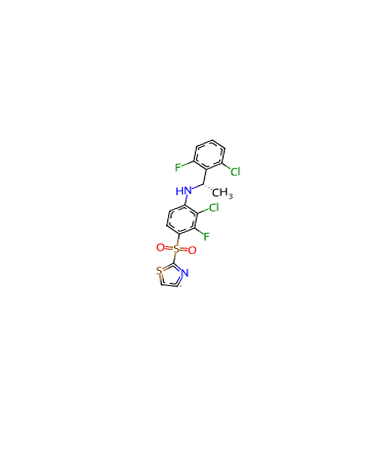 C[C@H](Nc1ccc(S(=O)(=O)c2n[c]cs2)c(F)c1Cl)c1c(F)cccc1Cl